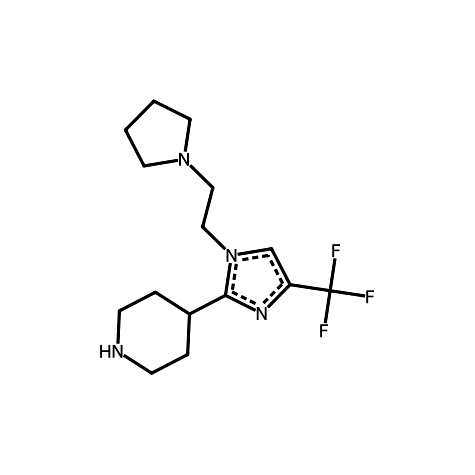 FC(F)(F)c1cn(CCN2CCCC2)c(C2CCNCC2)n1